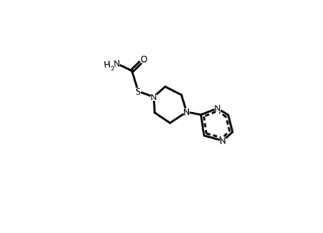 NC(=O)SN1CCN(c2cnccn2)CC1